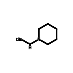 CC(C)(C)BN1CCCCC1